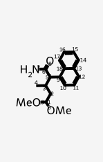 COC(CC(C)[C](C(N)=O)c1cccc2ccccc12)OC